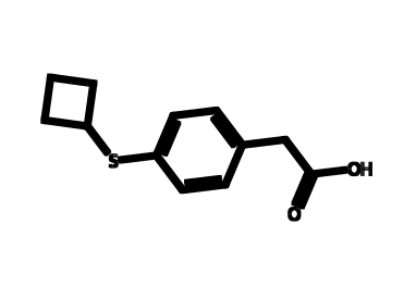 O=C(O)Cc1ccc(SC2CCC2)cc1